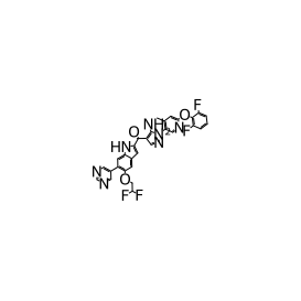 Cc1cc(Oc2c(F)cccc2F)ncc1-n1ncc(C(=O)c2cc3cc(OCC(F)F)c(-c4cncnc4)cc3[nH]2)c1N